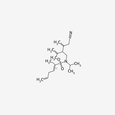 C=CC/C=C(\C)S(=O)(=O)N(CC(C(=C)C)C(=C)CC#N)C(C)C